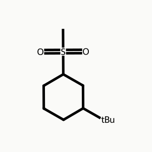 CC(C)(C)C1CCCC(S(C)(=O)=O)C1